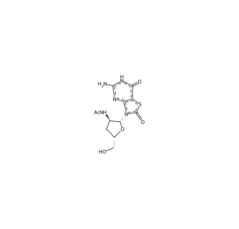 CC(=O)N[C@@H]1C[C@@H](CO)O[C@H]1n1c(=O)sc2c(=O)[nH]c(N)nc21